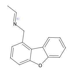 C/C=N/Cc1cccc2oc3ccccc3c12